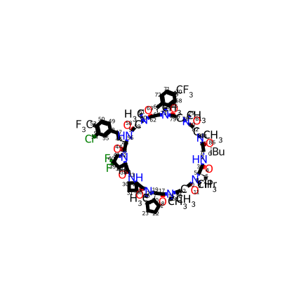 CC[C@H](C)[C@@H]1NC(=O)[C@H](CC(C)C)N(C)C(=O)C[C@@H](C)N(C)C(=O)[C@H](C2CCCC2)N(C)C(=O)C2(CCC2)NC(=O)[C@@H]2CC(F)(F)CN2C(=O)[C@H](CCc2ccc(C(F)(F)F)c(Cl)c2)NC(=O)CN(C)C(=O)[C@H](Cc2ccc(C(F)(F)F)cc2)N(C)C(=O)CN(C)C(=O)CN(C)C1=O